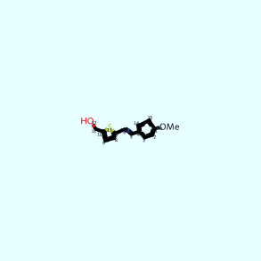 COc1ccc(/C=C/c2ccc(CO)s2)cc1